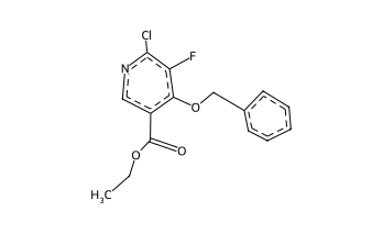 CCOC(=O)c1cnc(Cl)c(F)c1OCc1ccccc1